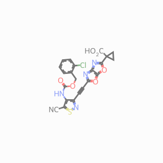 N#Cc1snc(C#Cc2nc3nc(C4(C(=O)O)CC4)oc3o2)c1NC(=O)OCc1ccccc1Cl